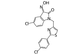 O=C1/C(=N\O)c2cc(Cl)ccc2N1Cc1csc(-c2ccc(Cl)cc2)n1